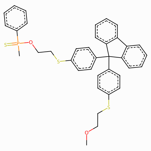 COCCSc1ccc(C2(c3ccc(SCCOP(C)(=S)c4ccccc4)cc3)c3ccccc3-c3ccccc32)cc1